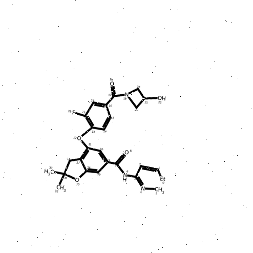 CC/C=C\C(=N/C)NC(=O)c1cc(Oc2ccc(C(=O)N3CC(O)C3)cc2F)c2c(c1)OC(C)(C)C2